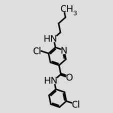 CCCCNc1ncc(C(=O)Nc2cccc(Cl)c2)cc1Cl